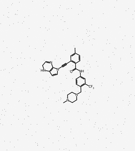 Cc1ccc(C(=O)Nc2ccc(CN3CCN(C)CC3)c(C(F)(F)F)c2)c(C#Cn2ccc3c2N=CCN3)c1